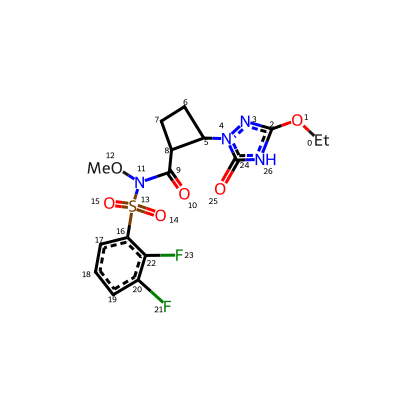 CCOc1nn(C2CCC2C(=O)N(OC)S(=O)(=O)c2cccc(F)c2F)c(=O)[nH]1